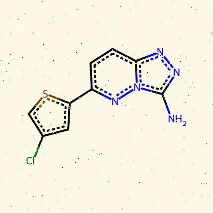 Nc1nnc2ccc(-c3cc(Cl)cs3)nn12